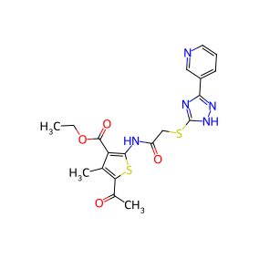 CCOC(=O)c1c(NC(=O)CSc2nc(-c3cccnc3)n[nH]2)sc(C(C)=O)c1C